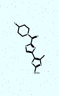 CC(=O)Nc1nc(C)c(-c2csc(C(=O)N3CCC(F)CC3)n2)s1